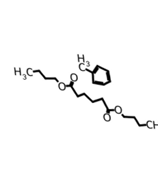 CCCCOC(=O)CCCCC(=O)OCCCC.Cc1ccccc1